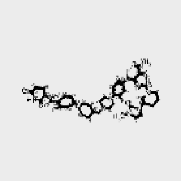 CN1CCN(C2CCCN(c3nnc(C(N)=O)c(Nc4ccc(N5CCN(CC6CCN(c7ccc(C(=O)NC8CCC(=O)NC8=O)c(F)c7)CC6)CC5)c(F)c4)n3)C2)C1=O